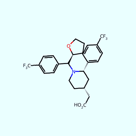 O=C(O)C[C@@H]1CCN(C(c2ccc(C(F)(F)F)cc2)[C@@H]2CCCO2)[C@H](c2ccc(C(F)(F)F)cc2)C1